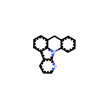 c1ccc2c(c1)Cc1cccc3c4cccnc4n-2c13